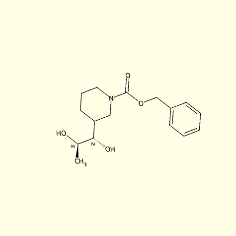 C[C@@H](O)[C@@H](O)C1CCCN(C(=O)OCc2ccccc2)C1